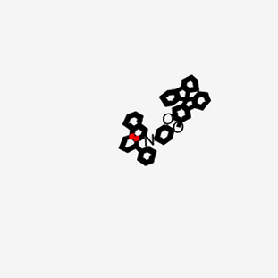 C1=CCCC(c2ccccc2N(c2ccc3c(c2)Oc2cc4c(cc2O3)-c2ccccc2C42c3ccccc3-c3ccccc32)c2ccc3ccccc3c2)=C1